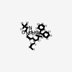 C/C=C\C[C@@H](C/C=C\NC(=O)[C@@H](N)C(C)(C)C)CC(C)(C)[Si](O)(c1ccccc1)c1ccccc1